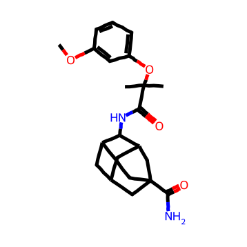 COc1cccc(OC(C)(C)C(=O)NC2C3CC4CC2CC(C(N)=O)(C4)C3)c1